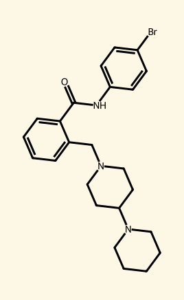 O=C(Nc1ccc(Br)cc1)c1ccccc1CN1CCC(N2CCCCC2)CC1